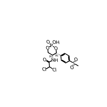 CS(=O)(=O)c1ccc([C@H]2OP(=O)(O)OC[C@H]2NC(=O)C(Cl)Cl)cc1